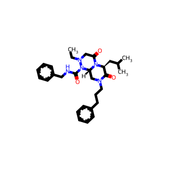 CCN1CC(=O)N2[C@@H](CC(C)C)C(=O)N(CCCc3ccccc3)C[C@@H]2N1C(=O)NCc1ccccc1